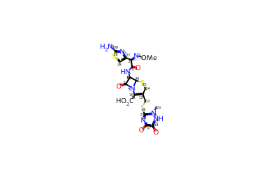 CO/N=C(\C(=O)N[C@@H]1C(=O)N2C(C(=O)O)=C(CSc3nc(=O)c(=O)[nH]n3C)CSC12)c1csc(N)n1